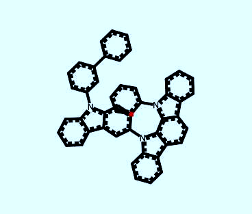 c1ccc(-c2cccc(-n3c4ccccc4c4cc(-n5c6ccccc6c6ccc7c8ccccc8n(-c8ccccc8)c7c65)ccc43)c2)cc1